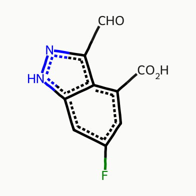 O=Cc1n[nH]c2cc(F)cc(C(=O)O)c12